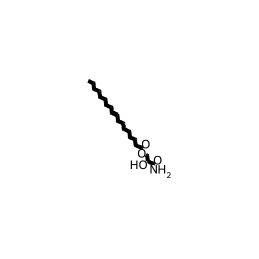 CCCCCCCCC=CCCCCCCCC(=O)OCC(O)C(N)=O